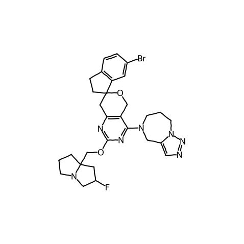 FC1CN2CCCC2(COc2nc3c(c(N4CCCn5nncc5C4)n2)COC2(CCc4ccc(Br)cc42)C3)C1